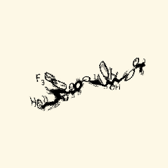 C=C(C)C(=O)OCCCC(O)C(O)CCCOc1ccc2cc(-c3oc(CCCO)cc3OC(F)(F)F)oc2c1